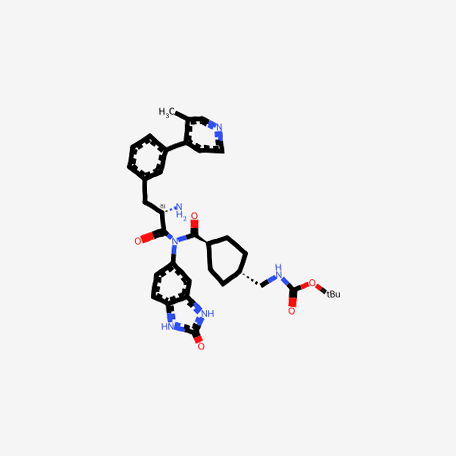 Cc1cnccc1-c1cccc(C[C@H](N)C(=O)N(c2ccc3[nH]c(=O)[nH]c3c2)C(=O)[C@H]2CC[C@H](CNC(=O)OC(C)(C)C)CC2)c1